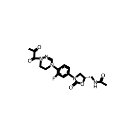 CC(=O)NC[C@H]1CN(c2ccc(N3C=NN(C(=O)C(C)=O)CC3)c(F)c2)C(=O)O1